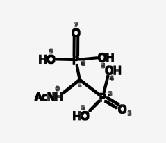 CC(=O)NC(P(=O)(O)O)P(=O)(O)O